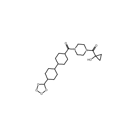 O=C(C1CCC(C2CCC(C3OOOO3)CC2)CC1)N1CCN(C(=O)C2(O)CC2)CC1